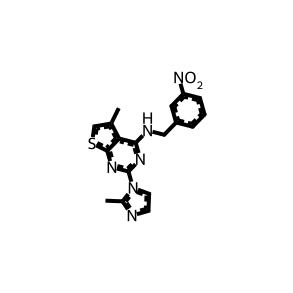 Cc1csc2nc(-n3ccnc3C)nc(NCc3cccc([N+](=O)[O-])c3)c12